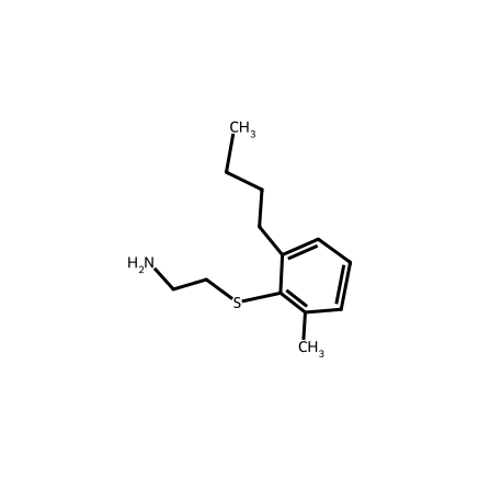 CCCCc1cccc(C)c1SCCN